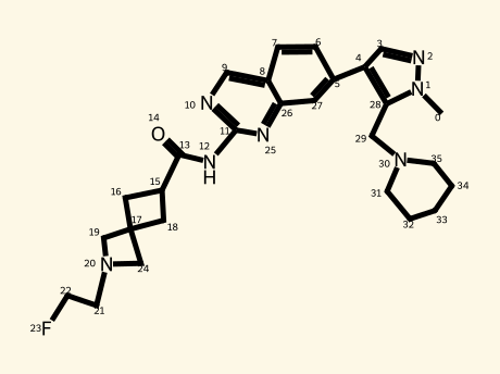 Cn1ncc(-c2ccc3cnc(NC(=O)C4CC5(C4)CN(CCF)C5)nc3c2)c1CN1CCCCC1